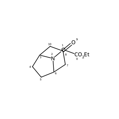 CCOC(=O)ON1C2CCC1CC(=O)C2